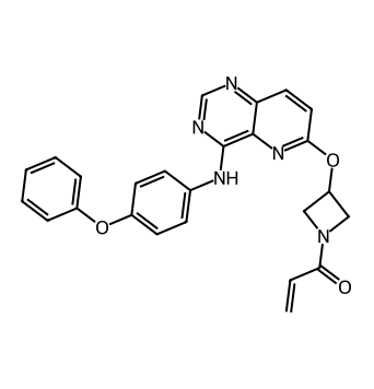 C=CC(=O)N1CC(Oc2ccc3ncnc(Nc4ccc(Oc5ccccc5)cc4)c3n2)C1